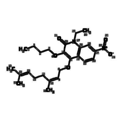 CCCCOc1c(OCC=C(C)CCC=C(C)C)c2ccc([N+](=O)[O-])cc2n(CC)c1=O